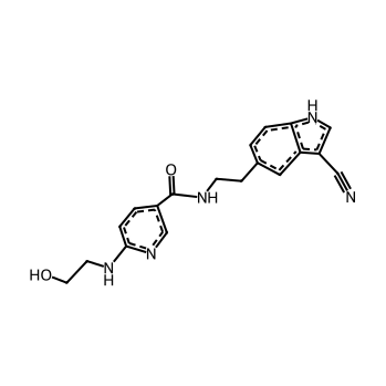 N#Cc1c[nH]c2ccc(CCNC(=O)c3ccc(NCCO)nc3)cc12